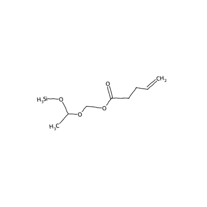 C=CCCC(=O)OCOC(C)O[SiH3]